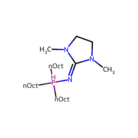 CCCCCCCC[PH](CCCCCCCC)(CCCCCCCC)N=C1N(C)CCN1C